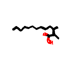 CCCCCCCCCCC(C)=C(C)C(=O)O